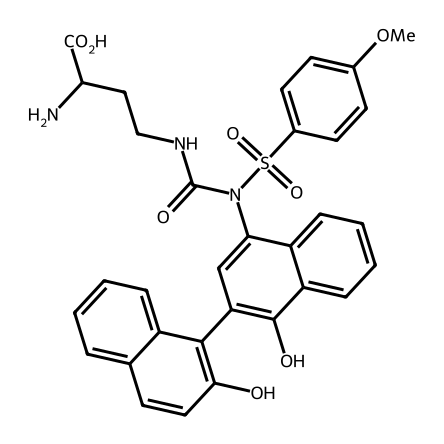 COc1ccc(S(=O)(=O)N(C(=O)NCCC(N)C(=O)O)c2cc(-c3c(O)ccc4ccccc34)c(O)c3ccccc23)cc1